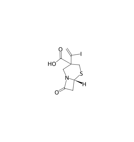 C=C(I)C1(C(=O)O)CS[C@@H]2CC(=O)N2C1